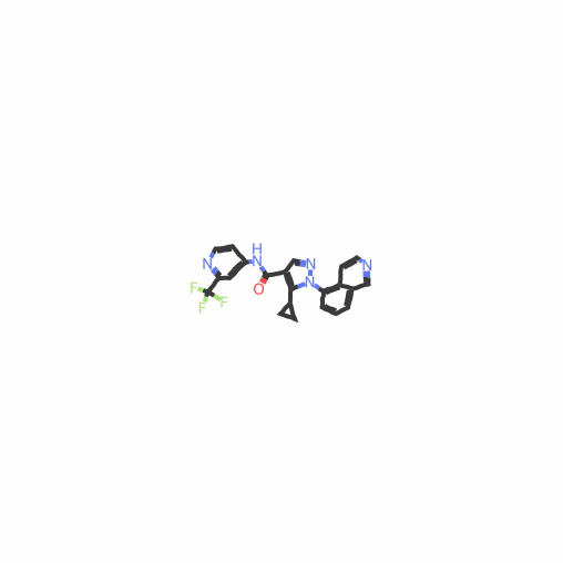 O=C(Nc1ccnc(C(F)(F)F)c1)c1cnn(-c2cccc3cnccc23)c1C1CC1